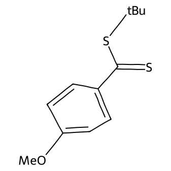 COc1ccc(C(=S)SC(C)(C)C)cc1